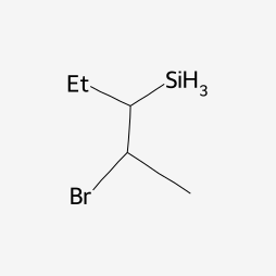 CCC([SiH3])C(C)Br